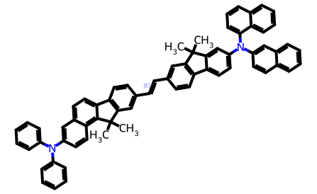 CC1(C)c2cc(/C=C/c3ccc4c(c3)C(C)(C)c3c-4ccc4cc(N(c5ccccc5)c5ccccc5)ccc34)ccc2-c2ccc(N(c3ccc4ccccc4c3)c3cccc4ccccc34)cc21